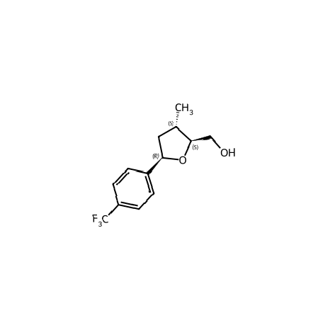 C[C@H]1C[C@H](c2ccc(C(F)(F)F)cc2)O[C@@H]1CO